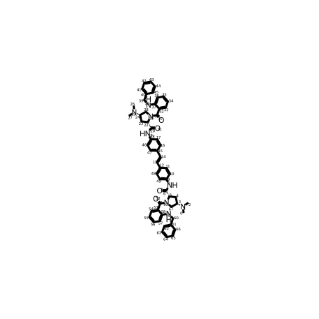 CN(C)[C@H]1C[C@@H](C(=O)Nc2ccc(/C=C/c3ccc(NC(=O)[C@@H]4C[C@H](N(C)C)CN4C(=O)c4ccccc4NCc4ccccc4)cc3)cc2)N(C(=O)c2ccccc2NCc2ccccc2)C1